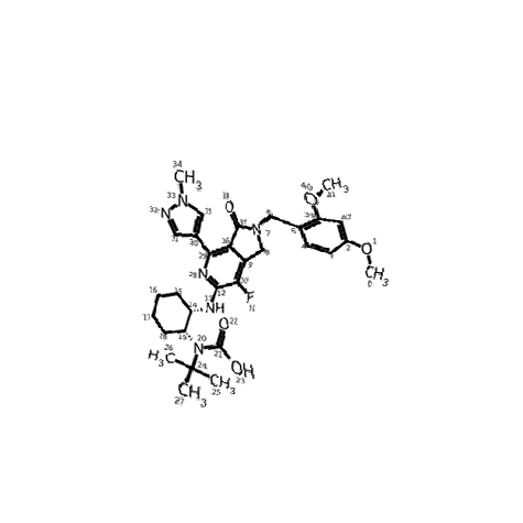 COc1ccc(CN2Cc3c(F)c(N[C@H]4CCCC[C@H]4N(C(=O)O)C(C)(C)C)nc(-c4cnn(C)c4)c3C2=O)c(OC)c1